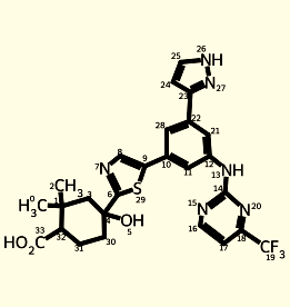 CC1(C)CC(O)(c2ncc(-c3cc(Nc4nccc(C(F)(F)F)n4)cc(-c4cc[nH]n4)c3)s2)CCC1C(=O)O